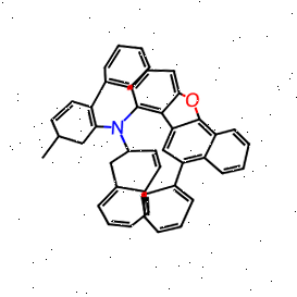 CC1C=CC(c2ccccc2)=C(N(c2cccc3oc4c5ccccc5c(-c5ccccc5)cc4c23)C2C=Cc3ccccc3C2)C1